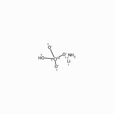 N.[Li].[O-][Cl+3]([O-])([O-])O